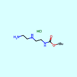 CC(C)(C)OC(=O)NCCNCCN.Cl